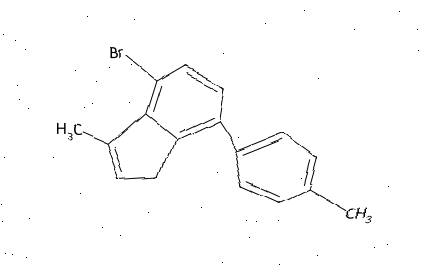 CC1=CCc2c(-c3ccc(C)cc3)ccc(Br)c21